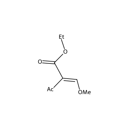 CCOC(=O)C(=COC)C(C)=O